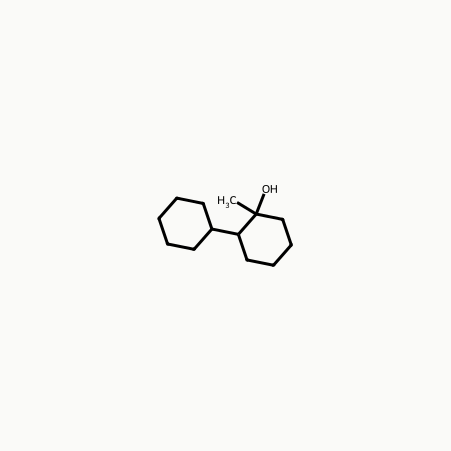 CC1(O)CCCCC1C1CCCCC1